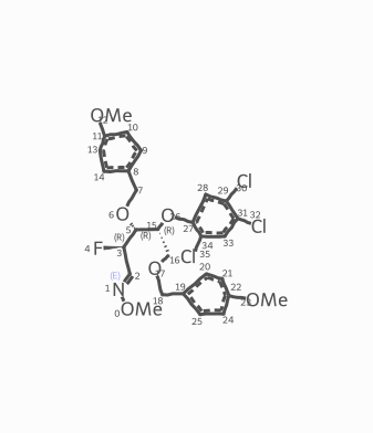 CO/N=C/[C@@H](F)[C@H](OCc1ccc(OC)cc1)[C@@H](COCc1ccc(OC)cc1)Oc1cc(Cl)c(Cl)cc1Cl